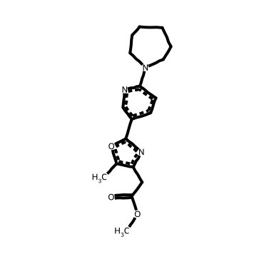 COC(=O)Cc1nc(-c2ccc(N3CCCCCC3)nc2)oc1C